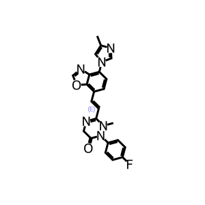 Cc1cn(-c2ccc(/C=C/C3=NCC(=O)N(c4ccc(F)cc4)N3C)c3ocnc23)cn1